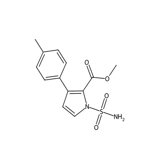 COC(=O)c1c(-c2ccc(C)cc2)ccn1S(N)(=O)=O